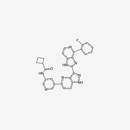 O=C(Nc1cncc(-c2ccc3[nH]nc(-c4nc5c(-c6ccccc6F)nccc5[nH]4)c3n2)c1)C1CCC1